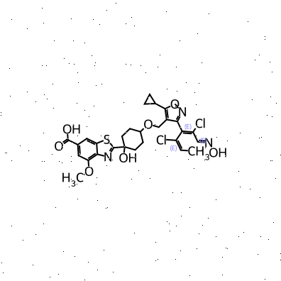 C\C=C(Cl)/C(=C(Cl)\C=N\O)c1noc(C2CC2)c1COC1CCC(O)(c2nc3c(OC)cc(C(=O)O)cc3s2)CC1